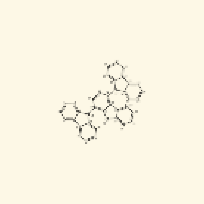 c1ccc2c(c1)c1ccccc1n2-c1ccc(-n2c3ccccc3c3ccccc32)c2c1oc1nccnc12